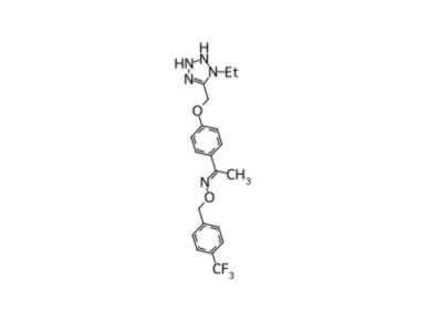 CCN1NNN=C1COc1ccc(/C(C)=N/OCc2ccc(C(F)(F)F)cc2)cc1